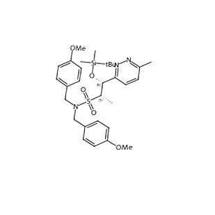 COc1ccc(CN(Cc2ccc(OC)cc2)S(=O)(=O)[C@@H](C)[C@H](O[Si](C)(C)C(C)(C)C)c2ccc(C)nn2)cc1